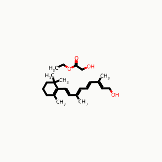 CC(C=CC1=C(C)CCCC1(C)C)=CC=CC(C)=CCO.CCOC(=O)CO